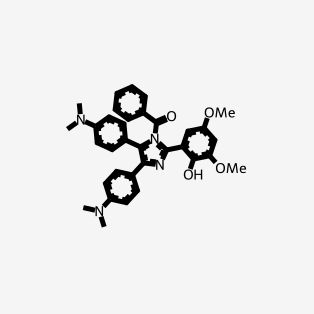 COc1cc(OC)c(O)c(-c2nc(-c3ccc(N(C)C)cc3)c(-c3ccc(N(C)C)cc3)n2C(=O)c2ccccc2)c1